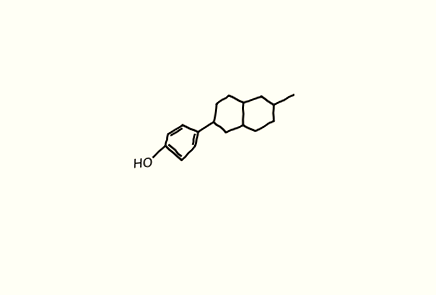 CC1CCC2CC(c3ccc(O)cc3)CCC2C1